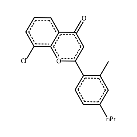 CCCc1ccc(-c2cc(=O)c3cccc(Cl)c3o2)c(C)c1